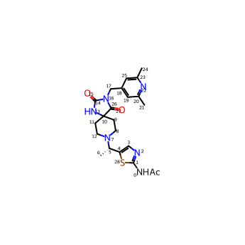 CC(=O)Nc1ncc([C@H](C)N2CCC3(CC2)NC(=O)N(Cc2cc(C)nc(C)c2)C3=O)s1